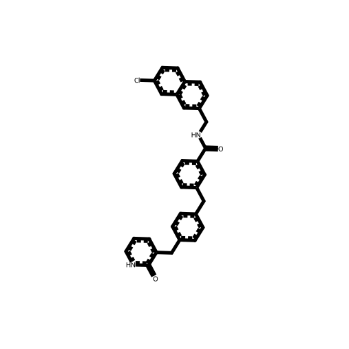 O=C(NCc1ccc2ccc(Cl)cc2c1)c1cccc(Cc2ccc(Cc3ccc[nH]c3=O)cc2)c1